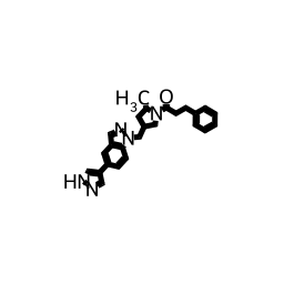 CC1CC(Cn2ncc3cc(-c4cn[nH]c4)ccc32)CN1C(=O)CCc1ccccc1